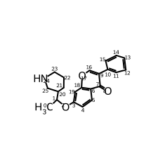 CC(Oc1ccc2c(=O)c(-c3ccccc3)coc2c1)C1CCCNC1